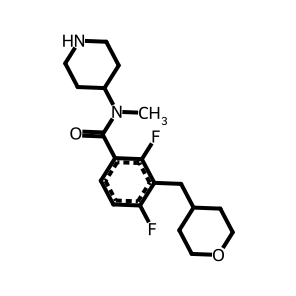 CN(C(=O)c1ccc(F)c(CC2CCOCC2)c1F)C1CCNCC1